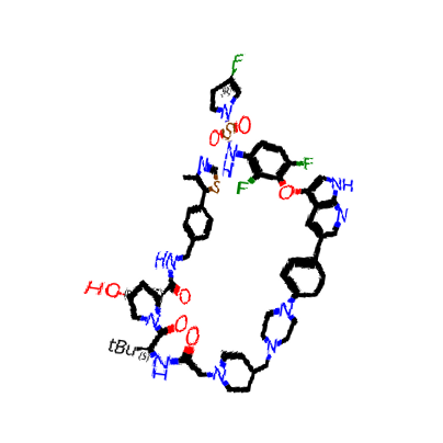 Cc1ncsc1-c1ccc(CNC(=O)[C@@H]2C[C@@H](O)CN2C(=O)[C@@H](NC(=O)CN2CCC(CN3CCN(c4ccc(-c5cnc6[nH]cc(Oc7c(F)ccc(NS(=O)(=O)N8CC[C@@H](F)C8)c7F)c6c5)cc4)CC3)CC2)C(C)(C)C)cc1